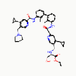 CCOC(=O)C(CO)NCc1cnc(C(=O)Nc2cccc(-c3cccc(NC(=O)c4cc(C5CC5)c(CN5CCCCC5)cn4)c3C)c2C)cc1C1CC1